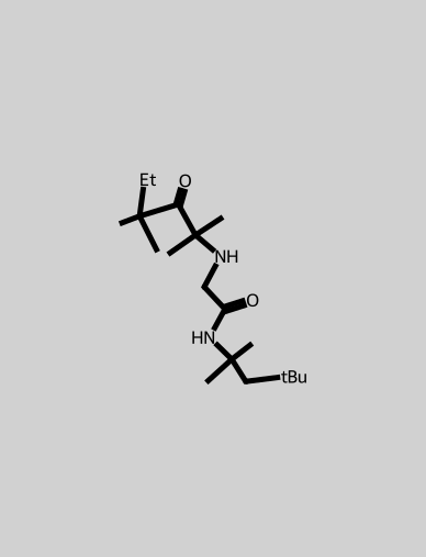 CCC(C)(C)C(=O)C(C)(C)NCC(=O)NC(C)(C)CC(C)(C)C